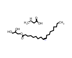 CCCCCCCC/C=C\CCCCCCCC(=O)OCC(O)CO.CNCC(=O)O